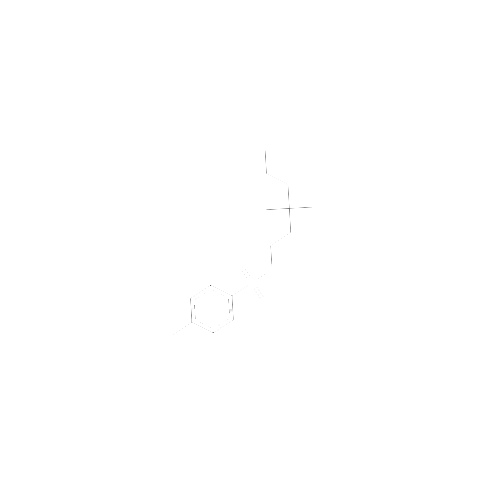 CCCC(C)(C)CCOS(=O)(=O)c1ccc(C)cc1